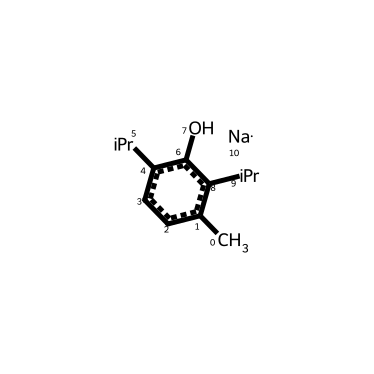 Cc1ccc(C(C)C)c(O)c1C(C)C.[Na]